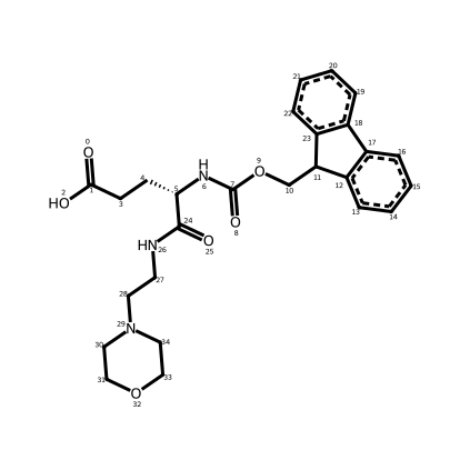 O=C(O)CC[C@H](NC(=O)OCC1c2ccccc2-c2ccccc21)C(=O)NCCN1CCOCC1